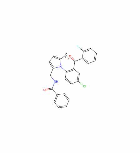 Cc1ccc(CNC(=O)c2ccccc2)n1-c1ccc(Cl)cc1C(=O)c1ccccc1F